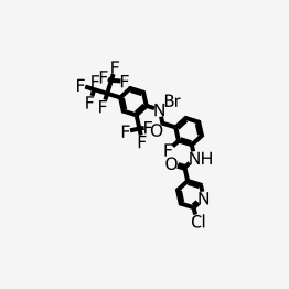 O=C(Nc1cccc(C(=O)N(Br)c2ccc(C(F)(C(F)(F)F)C(F)(F)F)cc2C(F)(F)F)c1F)c1ccc(Cl)nc1